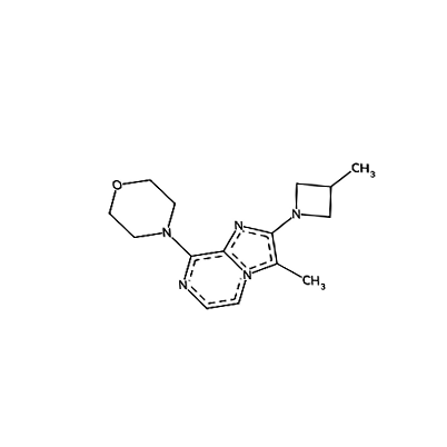 Cc1c(N2CC(C)C2)nc2c(N3CCOCC3)nccn12